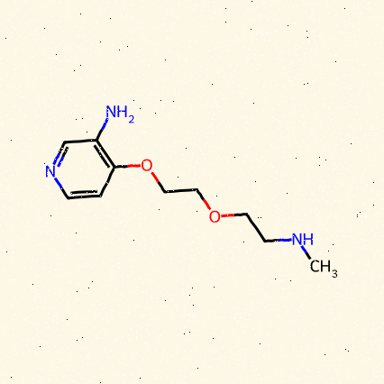 CNCCOCCOc1ccncc1N